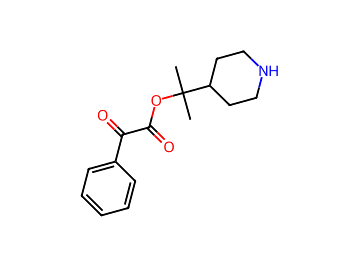 CC(C)(OC(=O)C(=O)c1ccccc1)C1CCNCC1